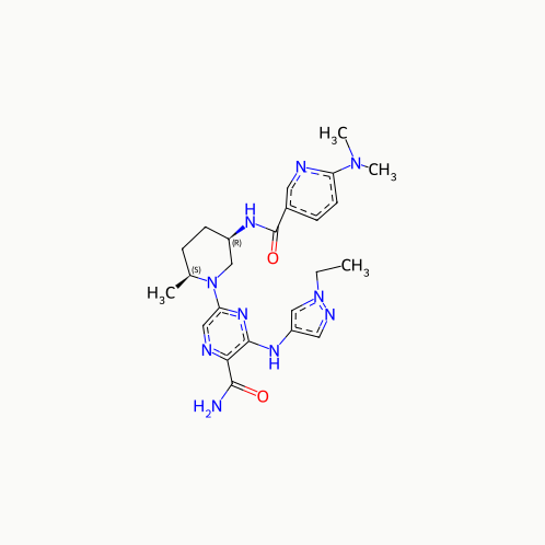 CCn1cc(Nc2nc(N3C[C@H](NC(=O)c4ccc(N(C)C)nc4)CC[C@@H]3C)cnc2C(N)=O)cn1